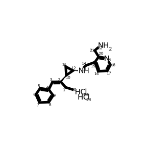 CC/C(=C\c1ccccc1)[C@H]1C[C@@H]1NCc1cccnc1CN.Cl.Cl